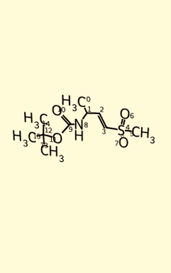 CC(/C=C/S(C)(=O)=O)NC(=O)OC(C)(C)C